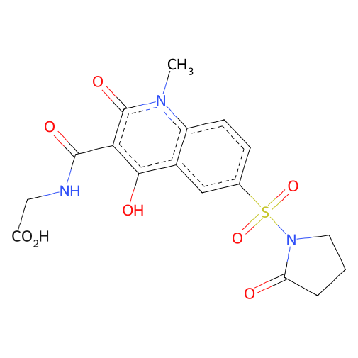 Cn1c(=O)c(C(=O)NCC(=O)O)c(O)c2cc(S(=O)(=O)N3CCCC3=O)ccc21